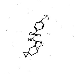 O=S(=O)(Nc1cnn2c1CC1(CC2)CC1)c1ccc(C(F)(F)F)cc1